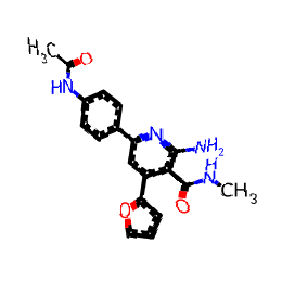 CNC(=O)c1c(-c2ccco2)cc(-c2ccc(NC(C)=O)cc2)nc1N